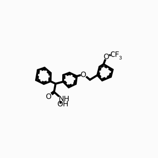 O=C(NO)C(c1ccccc1)c1ccc(OCc2cccc(OC(F)(F)F)c2)cc1